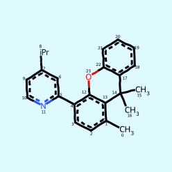 Cc1ccc(-c2cc(C(C)C)ccn2)c2c1C(C)(C)c1ccccc1O2